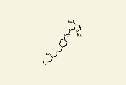 CSn1ccn(SC)c1=N/N=N/c1ccc(COCC(O)CN)cc1